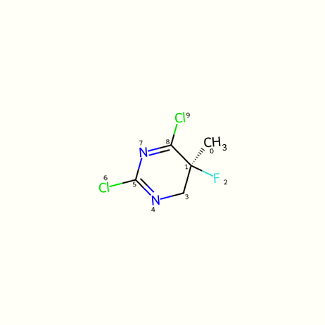 C[C@]1(F)CN=C(Cl)N=C1Cl